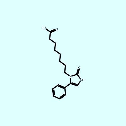 O=C(O)CCCCCCCn1c(-c2ccccc2)c[nH]c1=O